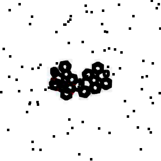 c1ccc(-c2ccc(-c3ccccc3N(c3ccc4c(c3)-c3ccccc3C43c4ccccc4Oc4cc5ccccc5cc43)c3cccc4c3-c3ccccc3C43c4ccccc4Oc4ccccc43)cc2)cc1